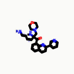 CNC(/C=C\C=C\N)(CN1CCOCC1)C(=O)c1cccc2ccc(-c3cccnc3)nc12